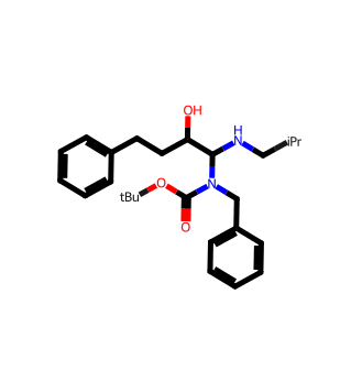 CC(C)CNC(C(O)CCc1ccccc1)N(Cc1ccccc1)C(=O)OC(C)(C)C